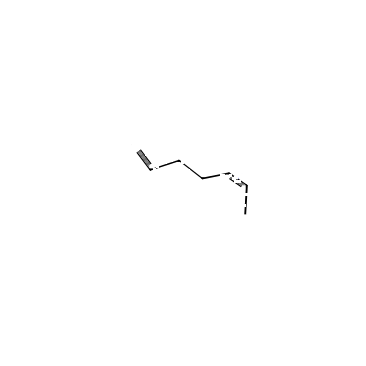 C=CCC/C=C\I